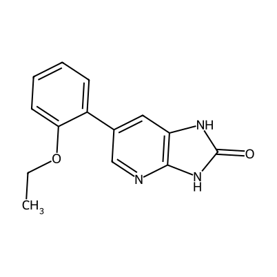 CCOc1ccccc1-c1cnc2[nH]c(=O)[nH]c2c1